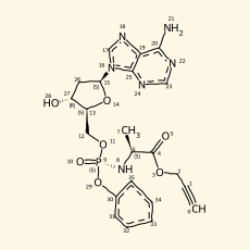 C#CCOC(=O)[C@H](C)N[P@](=O)(OC[C@@H]1O[C@H](n2cnc3c(N)ncnc32)C[C@H]1O)Oc1ccccc1